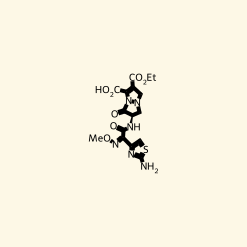 CCOC(=O)C1=C(C(=O)O)N2C(=O)[C@H](NC(=O)/C(=N\OC)c3csc(N)n3)CN2C1